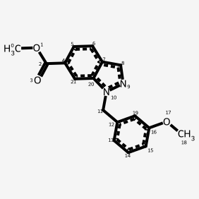 COC(=O)c1ccc2cnn(Cc3cccc(OC)c3)c2c1